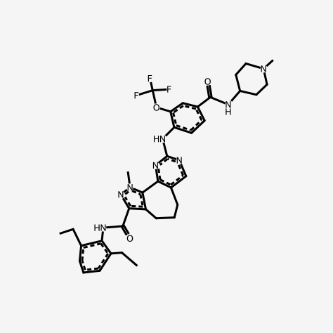 CCc1cccc(CC)c1NC(=O)c1nn(C)c2c1CCCc1cnc(Nc3ccc(C(=O)NC4CCN(C)CC4)cc3OC(F)(F)F)nc1-2